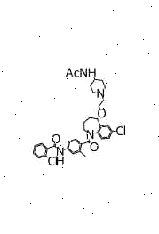 CC(=O)NC1CCN(CCOC2CCCN(C(=O)c3ccc(NC(=O)c4ccccc4Cl)cc3C)c3ccc(Cl)cc32)CC1